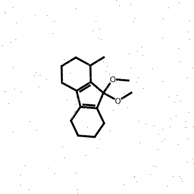 COC1(OC)C2=C(CCCC2)C2=C1C(C)CCC2